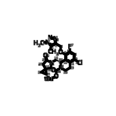 Cc1c(COc2c(F)cc(Cl)c3c2[C@@H](CN2CC4(CC4)CC2=O)N(C(=O)OC(C)(C)C)CC3)nnn1C